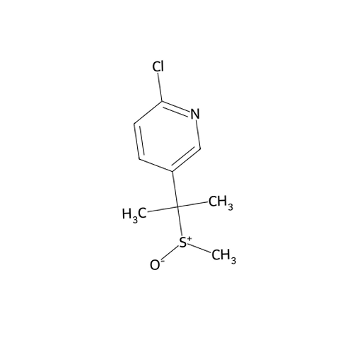 C[S+]([O-])C(C)(C)c1ccc(Cl)nc1